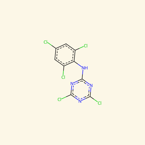 Clc1cc(Cl)c(Nc2nc(Cl)nc(Cl)n2)c(Cl)c1